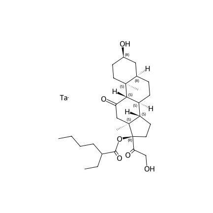 CCCCC(CC)C(=O)O[C@]1(C(=O)CO)CC[C@H]2[C@@H]3CC[C@@H]4C[C@H](O)CC[C@]4(C)[C@H]3C(=O)C[C@@]21C.[Ta]